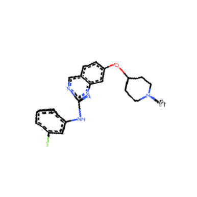 CC(C)N1CCC(Oc2ccc3cnc(Nc4cccc(F)c4)nc3c2)CC1